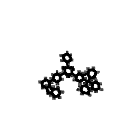 c1ccc(-c2nc(-c3ccc(-c4cccc5sc6ccccc6c45)cc3)nc(-c3ccc4c(c3)-c3ccccc3C4(c3ccccc3)c3ccccc3)n2)cc1